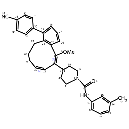 CO/C1=C(N2CCN(C(=O)Nc3cccc(C)c3)CC2)/C=C\CCCc2c1cccc2-c1ccc(C#N)cc1